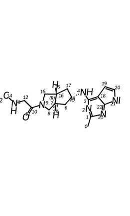 Cc1nc(N[C@@H]2C[C@@H]3CN(C(=O)CNC(=O)O)C[C@@H]3C2)c2cc[nH]c2n1